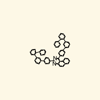 c1ccc(-c2ccccc2-c2cccc(-c3ccc(-c4nc(-c5ccc(-c6cccc(-c7ccccc7-c7ccccc7)c6)cc5)c5c(ccc6ccccc65)n4)cc3)c2)cc1